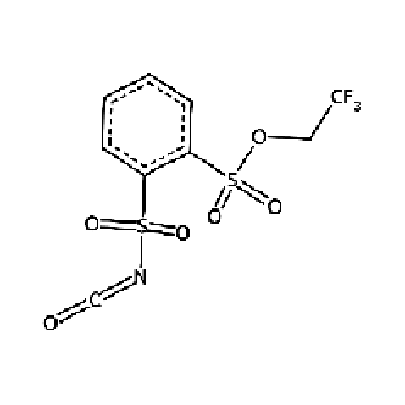 O=C=NS(=O)(=O)c1ccccc1S(=O)(=O)OCC(F)(F)F